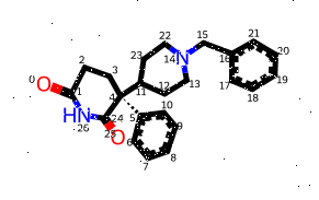 O=C1CC[C@@](c2ccccc2)(C2CCN(Cc3ccccc3)CC2)C(=O)N1